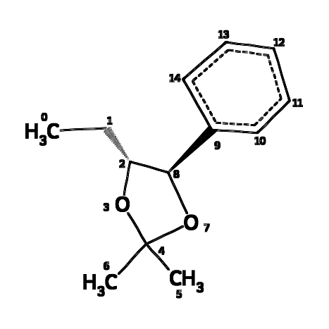 CC[C@H]1OC(C)(C)O[C@@H]1c1ccccc1